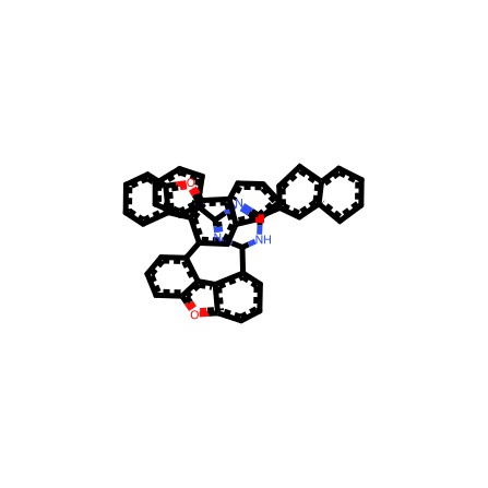 c1ccc(C2=NC(c3cccc4oc5cccc(-c6cc7ccccc7c7oc8ccccc8c67)c5c34)NC(c3ccc4ccccc4c3)=N2)cc1